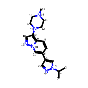 CC(C)n1cc(-c2ccc3c(N4CCN(C)CC4)cnn3c2)cn1